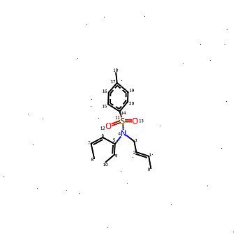 CC=CCN(C(/C=C\C)=C/C)S(=O)(=O)c1ccc(C)cc1